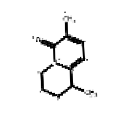 Cc1ccc2n(c1=O)CCCC2C